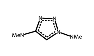 CNc1cn(NC)nn1